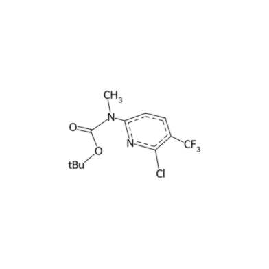 CN(C(=O)OC(C)(C)C)c1ccc(C(F)(F)F)c(Cl)n1